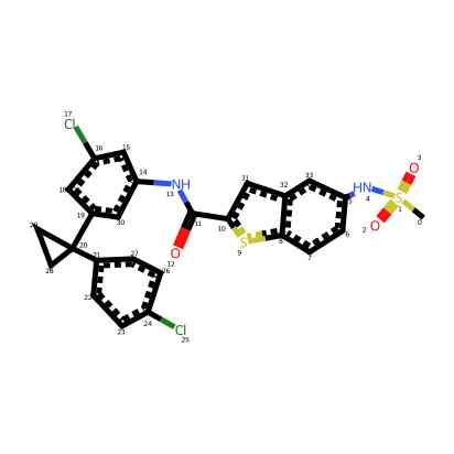 CS(=O)(=O)Nc1ccc2sc(C(=O)Nc3cc(Cl)cc(C4(c5ccc(Cl)cc5)CC4)c3)cc2c1